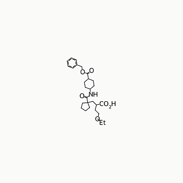 CCOCCC(CC1(C(=O)NC2CCC(C(=O)OCc3ccccc3)CC2)CCCC1)C(=O)O